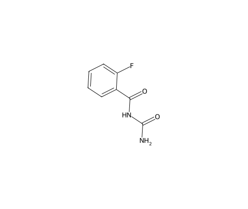 NC(=O)NC(=O)c1ccccc1F